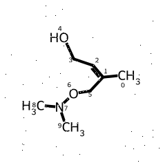 CC(=CCO)CON(C)C